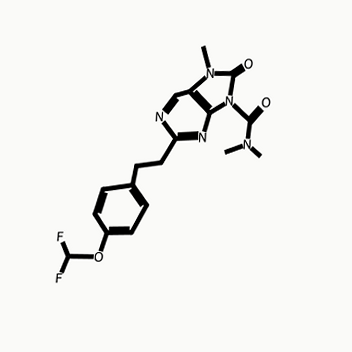 CN(C)C(=O)n1c(=O)n(C)c2cnc(CCc3ccc(OC(F)F)cc3)nc21